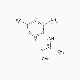 CC(=O)OC[C@@H](C)Nc1ncc(C(F)(F)F)cc1N